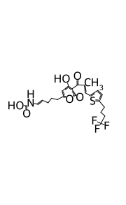 CC(=Cc1ccc(CCCC(F)(F)F)s1)C(=O)c1c(O)cc(CCCC=CNC(=O)O)oc1=O